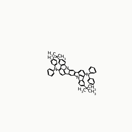 CC(C)(C)c1ccc2c(c1)c1c(N(c3ccccc3)c3ccccc3)ccc3c4cc5c(cc4n2c31)c1ccc(N(c2ccccc2)c2ccccc2)c2c3cc(C(C)(C)C)ccc3n5c12